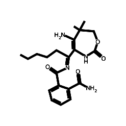 CCCCC/C(=N\C(=O)c1ccccc1C(N)=O)C1=C(N)C(C)(C)COC(=O)N1